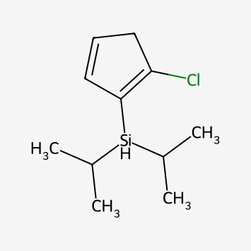 CC(C)[SiH](C1=C(Cl)CC=C1)C(C)C